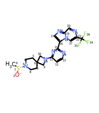 C[S+]([O-])N1CCC2(CC1)CN(c1ccnc(-c3cnc4cnc(C(F)(F)F)cn34)n1)C2